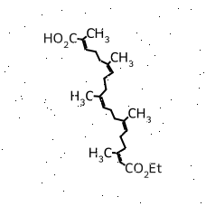 CCOC(=O)C=C(C)CCC=C(C)CCC=C(C)CCC=C(C)CCC=C(C)C(=O)O